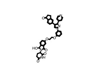 O=C1CCC(N2C(=O)c3cc(OCCOc4cccc(-n5cc(-c6ccc7c(c6)CCC7=O)c(-c6ccncc6)n5)c4)ccc3C2O)C(=O)N1